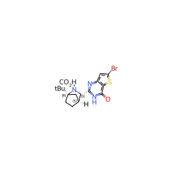 CC(C)(C)[C@@]12CC[C@@H](C1)[C@@H](c1nc3cc(Br)sc3c(=O)[nH]1)N2C(=O)O